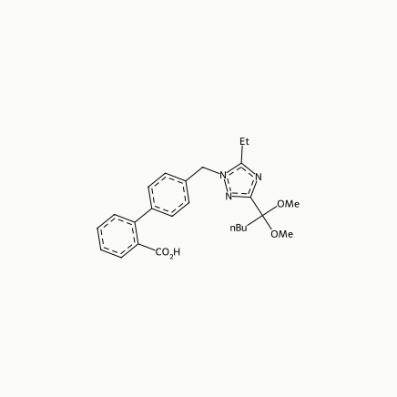 CCCCC(OC)(OC)c1nc(CC)n(Cc2ccc(-c3ccccc3C(=O)O)cc2)n1